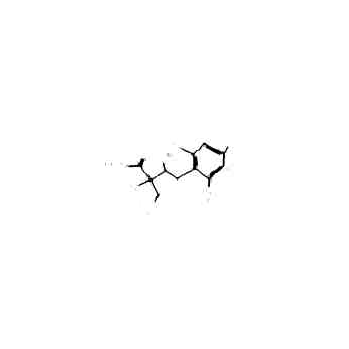 CNC(=O)C(N)(CO)C(O)Cc1c(N)cc(C)cc1N